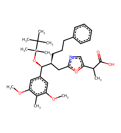 COc1cc([C@@H](O[Si](C)(C)C(C)(C)C)[C@@H](CCCc2ccccc2)Cc2ncc(C(C)C(=O)O)o2)cc(OC)c1C